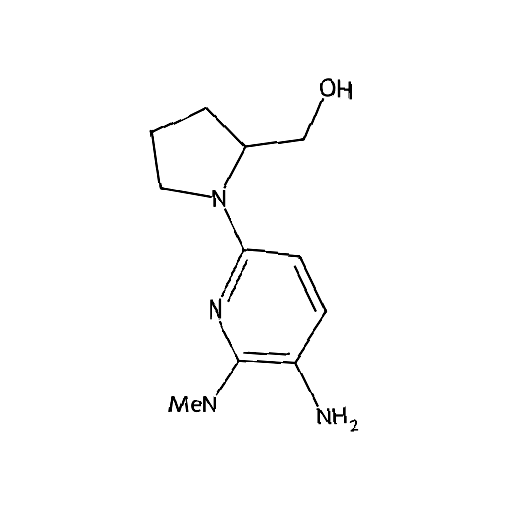 CNc1nc(N2CCCC2CO)ccc1N